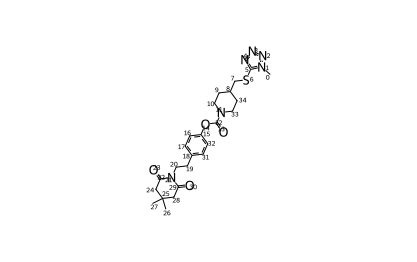 Cn1nnnc1SCC1CCN(C(=O)Oc2ccc(CCN3C(=O)CC(C)(C)CC3=O)cc2)CC1